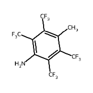 Cc1c(C(F)(F)F)c(C(F)(F)F)c(N)c(C(F)(F)F)c1C(F)(F)F